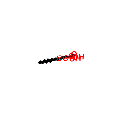 CCCCCCCCCCCOCCOCCOP(=O)(O)O